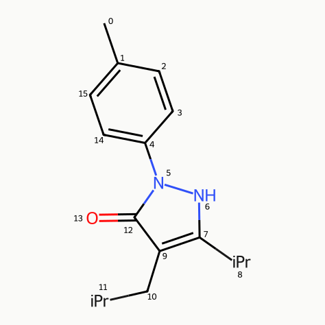 Cc1ccc(-n2[nH]c(C(C)C)c(CC(C)C)c2=O)cc1